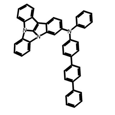 c1ccc(-c2ccc(-c3ccc(N(c4ccccc4)c4ccc5c6c7ccccc7n7c8ccccc8n(c5c4)c67)cc3)cc2)cc1